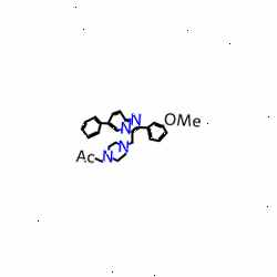 COc1cccc(-c2nc3ccc(-c4ccccc4)cn3c2CN2CCN(CC(C)=O)CC2)c1